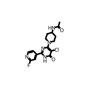 CC(=O)NC1CCN(c2nc(-c3ccnc(F)c3)[nH]c(=O)c2Cl)CC1